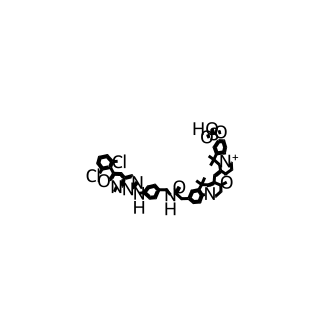 Cn1c(=O)c(-c2c(Cl)cccc2Cl)cc2cnc(Nc3ccc(CNC(=O)Cc4ccc5c(c4)C(C)(C)C4=C6C=C7C8=[N+](CCC7OC6CCN45)c4ccc(S(=O)(=O)O)cc4C8(C)C)cc3)nc21